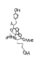 COC(=O)[C@H](CCCCO)NC(=O)[C@H](CC(C)C)OC(=O)[C@@H](I)Cc1ccc(O)cc1